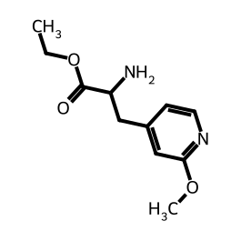 CCOC(=O)C(N)Cc1ccnc(OC)c1